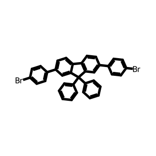 Brc1ccc(-c2ccc3c(c2)C(c2ccccc2)(c2ccccc2)c2cc(-c4ccc(Br)cc4)ccc2-3)cc1